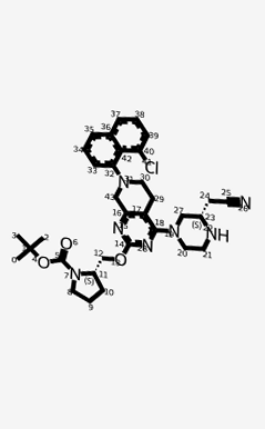 CC(C)(C)OC(=O)N1CCC[C@H]1COc1nc2c(c(N3CCN[C@@H](CC#N)C3)n1)CCN(c1cccc3cccc(Cl)c13)C2